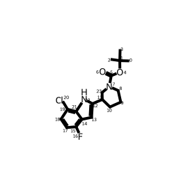 CC(C)(C)OC(=O)N1CCCC(c2cc3c(F)ccc(Cl)c3[nH]2)C1